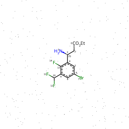 CCOC(=O)C[C@H](N)c1cc(Br)cc(C(F)F)c1F